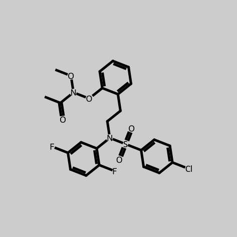 CON(Oc1ccccc1CCN(c1cc(F)ccc1F)S(=O)(=O)c1ccc(Cl)cc1)C(C)=O